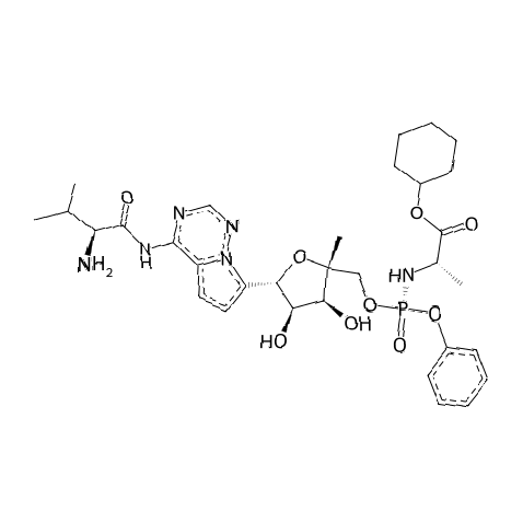 CC(C)[C@H](N)C(=O)Nc1ncnn2c([C@@H]3O[C@](C)(CO[P@@](=O)(N[C@@H](C)C(=O)OC4CCCCC4)Oc4ccccc4)[C@@H](O)[C@H]3O)ccc12